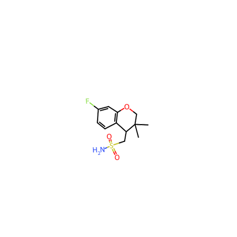 CC1(C)COc2cc(F)ccc2C1CS(N)(=O)=O